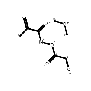 C=C(C)C(=O)NOC(=O)CO.COC